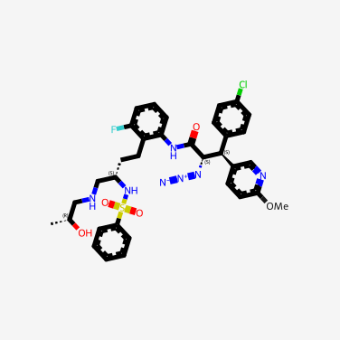 COc1ccc([C@H](c2ccc(Cl)cc2)[C@H](N=[N+]=[N-])C(=O)Nc2cccc(F)c2CC[C@@H](CNC[C@@H](C)O)NS(=O)(=O)c2ccccc2)cn1